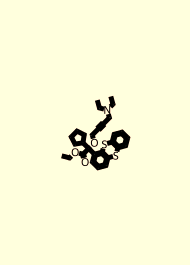 CCOC(=O)C(OCC#CCN(CC)CC)(c1cccc2c1Sc1ccccc1S2)C1CCCC1